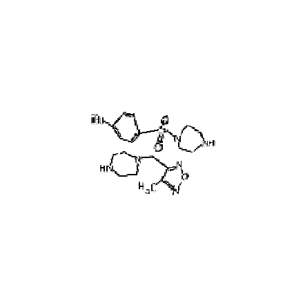 CCC(C)c1ccc(S(=O)(=O)N2CCNCC2)cc1.Cc1nonc1CN1CCNCC1